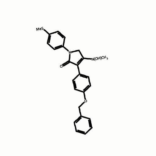 CSc1ccc(N2CC(N(C)O)=C(c3ccc(OCc4ccccc4)cc3)C2=O)cc1